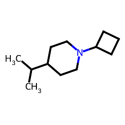 CC(C)C1CCN(C2CCC2)CC1